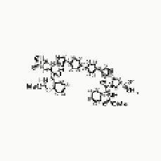 COC(=O)N[C@H](C(=O)N1C[C@@H]([S+](C)[O-])C[C@H]1c1ncc(-c2ccc(-c3ccc(-c4cnc([C@@H]5C[C@H]([S+](C)[O-])CN5C(=O)[C@@H](NC(=O)OC)c5ccccc5)[nH]4)cc3)cc2)[nH]1)c1ccccc1